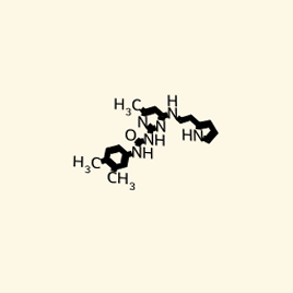 Cc1cc(NCCc2ccc[nH]2)nc(NC(=O)Nc2ccc(C)c(C)c2)n1